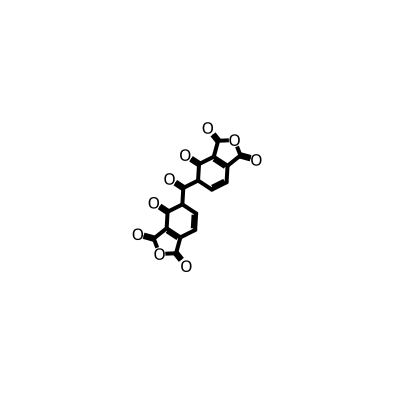 O=C1OC(=O)C2=C1C=CC(C(=O)C1C=CC3=C(C(=O)OC3=O)C1=O)C2=O